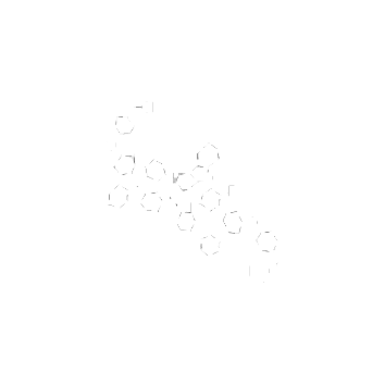 C=Cc1ccc(Oc2ccc(C3(c4cc(F)ccc4F)c4ccccc4-c4ccc(N(c5ccc6c(c5)C(c5ccc(Oc7ccc(C=C)cc7)cc5)(c5cc(F)ccc5F)c5ccccc5-6)c5ccc6c(c5)oc5ccccc56)cc43)cc2)cc1